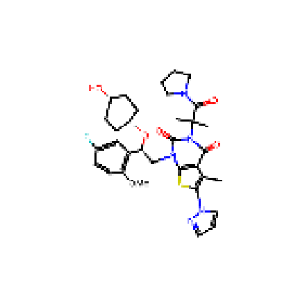 COc1ccc(F)cc1[C@H](Cn1c(=O)n(C(C)(C)C(=O)N2CCCC2)c(=O)c2c(C)c(-n3cccn3)sc21)O[C@H]1CC[C@@H](O)CC1